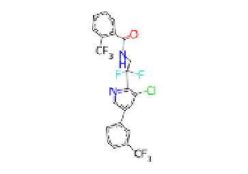 O=C(NCC(F)(F)c1ncc(-c2cccc(C(F)(F)F)c2)cc1Cl)c1ccccc1C(F)(F)F